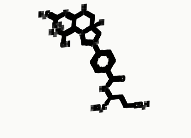 C=C(N)/N=C1/NC[C@@H]2C[N+](c3ccc(C(=O)N[C@@H](CCC(=O)O)C(=O)O)cc3)=CN2/C1=C(/N)O